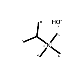 CC(C)[N+](C)(C)C.[OH-]